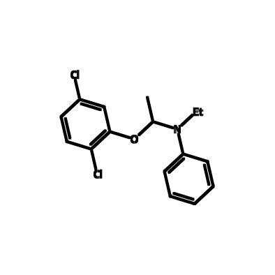 CCN(c1ccccc1)C(C)Oc1cc(Cl)ccc1Cl